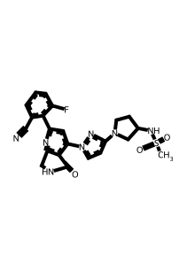 CS(=O)(=O)NC1CCN(c2ccn(-c3cc(-c4c(F)cccc4C#N)nc4c3C(=O)NC4)n2)C1